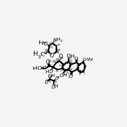 COc1cccc2c1C(=O)c1c(O)c3c(c(O)c1C2=O)C[C@@](O)(C(=O)CO)C[C@@H]3O[C@H]1C[C@H](N)[C@H](O)[C@H](C)O1.O=C(O)C(=O)O